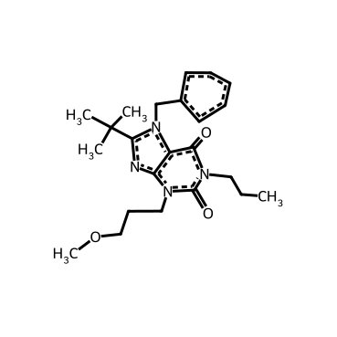 CCCn1c(=O)c2c(nc(C(C)(C)C)n2Cc2ccccc2)n(CCCOC)c1=O